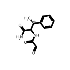 C[C@@H](c1ccccc1)C(NC(=O)C=O)C(N)=O